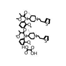 COc1ccccc1N(C(=O)C(C)OC)C1CCN(CCc2cccs2)C[C@H]1C.COc1ccccc1N(C(=O)C(C)OC)C1CCN(CCc2cccs2)C[C@H]1C.O=C(O)C(=O)O